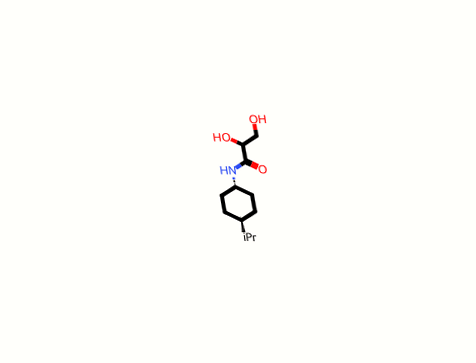 CC(C)[C@H]1CC[C@H](NC(=O)C(O)CO)CC1